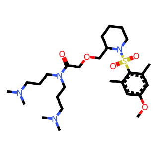 COc1cc(C)c(S(=O)(=O)N2CCCCC2COCC(=O)N(CCCN(C)C)CCCN(C)C)c(C)c1